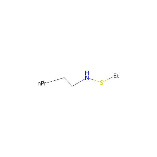 CCCCCNSCC